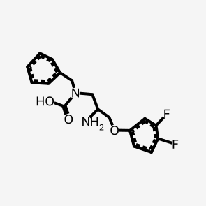 NC(COc1ccc(F)c(F)c1)CN(Cc1ccccc1)C(=O)O